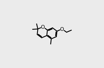 CCOc1cc(C)c2c(c1)OC(C)(C)C=C2